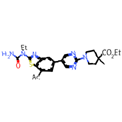 CCOC(=O)C1(C)CCN(c2ncc(-c3cc(C(C)=O)c4sc(N(CC)C(N)=O)nc4c3)cn2)CC1